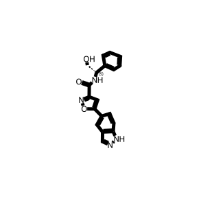 O=C(N[C@H](CO)c1ccccc1)c1cc(-c2ccc3[nH]ncc3c2)on1